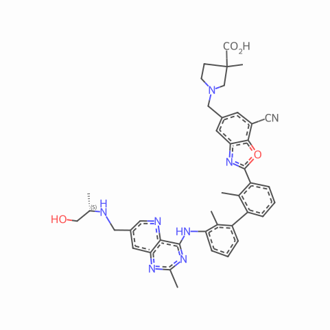 Cc1nc(Nc2cccc(-c3cccc(-c4nc5cc(CN6CCC(C)(C(=O)O)C6)cc(C#N)c5o4)c3C)c2C)c2ncc(CN[C@@H](C)CO)cc2n1